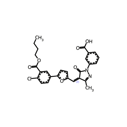 CCCCOC(=O)c1cc(-c2ccc(/C=C3\C(=O)N(c4cccc(C(=O)O)c4)N=C3C)o2)ccc1Cl